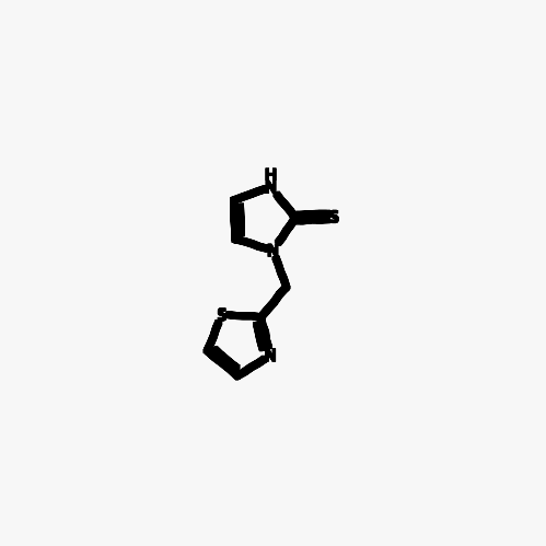 S=c1[nH]ccn1Cc1nccs1